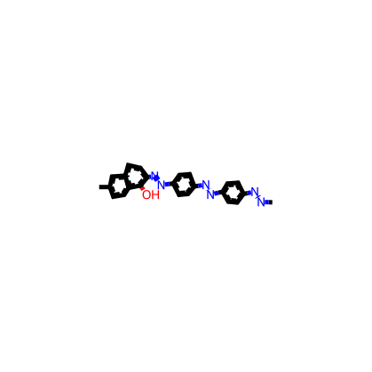 CN=Nc1ccc(N=Nc2ccc(N=Nc3ccc4cc(C)ccc4c3O)cc2)cc1